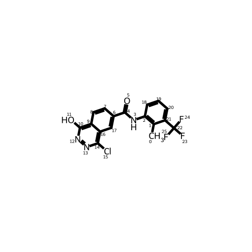 Cc1c(NC(=O)c2ccc3c(O)nnc(Cl)c3c2)cccc1C(F)(F)F